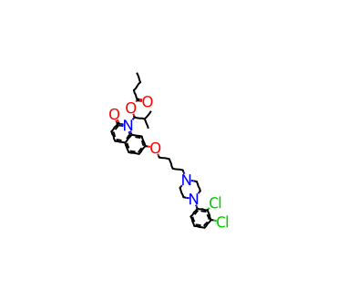 CCCC(=O)OC(C(C)C)n1c(=O)ccc2ccc(OCCCCN3CCN(c4cccc(Cl)c4Cl)CC3)cc21